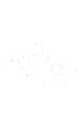 COc1cc(-c2cc3nccc(-c4cc(C(=O)O)cc(C(F)(F)F)c4)c3o2)cc(OC)c1OC